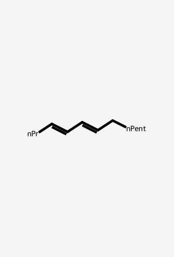 CCCC=CC=CCCCCCC